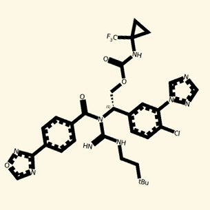 CC(C)(C)CCNC(=N)N(C(=O)c1ccc(-c2ncon2)cc1)[C@H](COC(=O)NC1(C(F)(F)F)CC1)c1ccc(Cl)c(-n2cncn2)c1